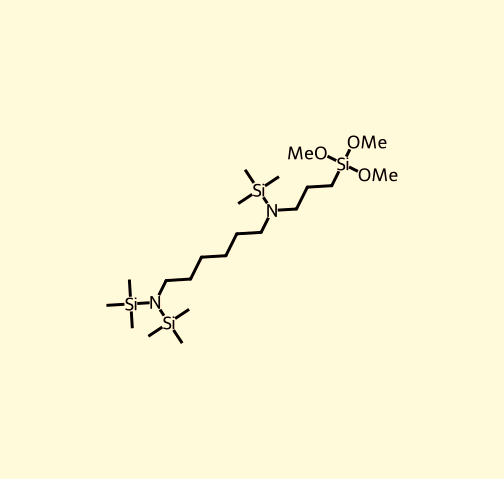 CO[Si](CCCN(CCCCCCN([Si](C)(C)C)[Si](C)(C)C)[Si](C)(C)C)(OC)OC